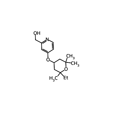 CCC1(C)CC(Oc2ccnc(CO)c2)CC(C)(C)O1